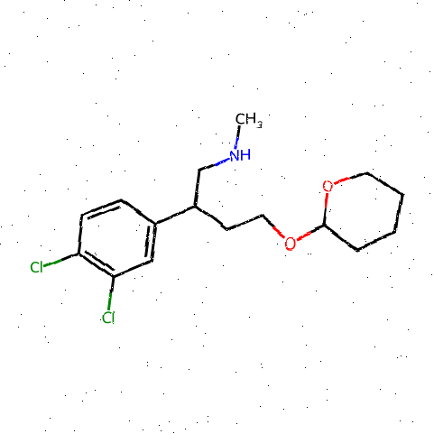 CNCC(CCOC1CCCCO1)c1ccc(Cl)c(Cl)c1